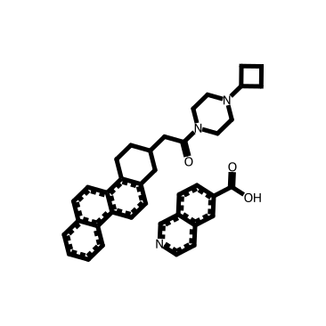 O=C(CC1CCc2c(ccc3c2ccc2ccccc23)C1)N1CCN(C2CCC2)CC1.O=C(O)c1ccc2cnccc2c1